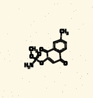 COP(N)(=O)OC1=CC(=O)c2ccc(C)cc2C1=O